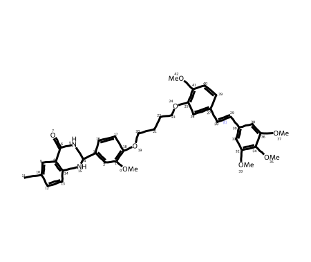 COc1cc(C2NC(=O)c3cc(C)ccc3N2)ccc1OCCCCOc1cc(/C=C/c2cc(OC)c(OC)c(OC)c2)ccc1OC